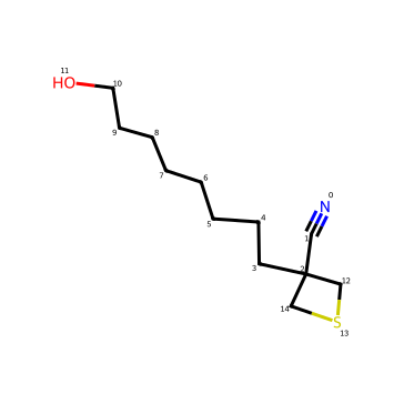 N#CC1(CCCCCCCCO)CSC1